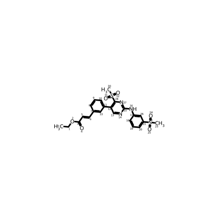 CCOC(=O)/C=C/c1cccc(-c2cnc(Nc3cccc(S(C)(=O)=O)c3)nc2S(C)(=O)=O)c1